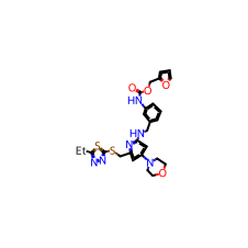 CCc1nnc(SCc2cc(N3CCOCC3)cc(NCc3cccc(NC(=O)OCc4ccco4)c3)n2)s1